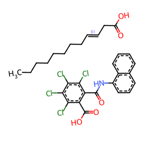 CCCCCCCC/C=C/CC(=O)O.O=C(O)c1c(Cl)c(Cl)c(Cl)c(Cl)c1C(=O)Nc1cccc2ccccc12